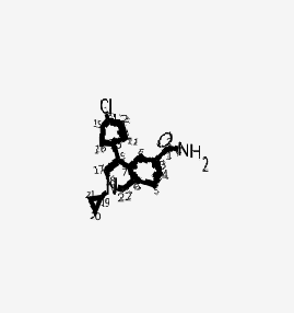 NC(=O)c1ccc2c(c1)C(c1ccc(Cl)cc1)=CN(C1CC1)C2